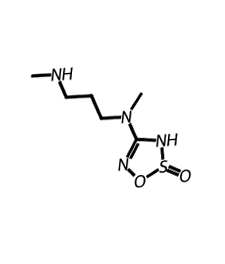 CNCCCN(C)C1=NOS(=O)N1